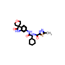 Cc1nnc(C(=O)NC(C(=O)Nc2ccc3c(c2)NC(=O)C32CCOCC2)C2CCCCC2)s1